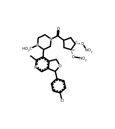 Cc1ncc2c(c1C1CN(C(=O)C3C[C@H](O[N+](=O)[O-])[C@H](O[N+](=O)[O-])C3)CCN1C(=O)O)COC2c1ccc(Cl)cc1